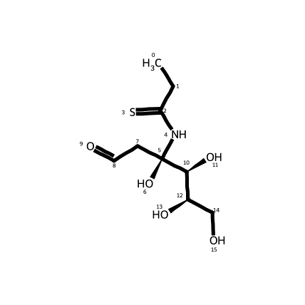 CCC(=S)N[C@@](O)(CC=O)[C@@H](O)[C@H](O)CO